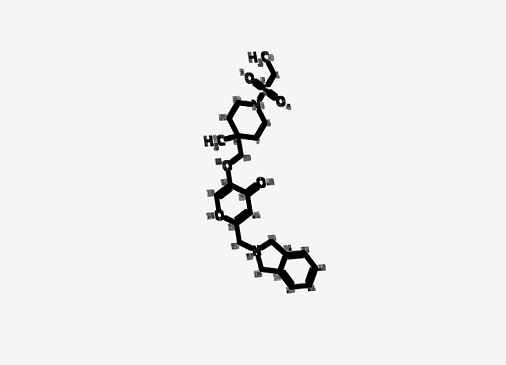 CCS(=O)(=O)N1CCC(C)(COc2coc(CN3Cc4ccccc4C3)cc2=O)CC1